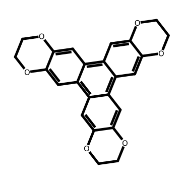 c1c2c(cc3c1c1cc4c(cc1c1cc5c(cc31)OCCO5)OCCO4)OCCO2